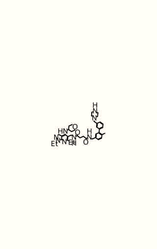 CCc1nc2c(cnn2CC)c(NC2CCOCC2)c1CNC(=O)CCC(=O)NCc1ccc(C)c(-c2cccc(CN3CCNCC3)c2)c1